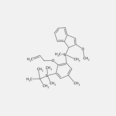 C=CCOc1c([Si](C)(C)C2C(OC)=Cc3ccccc32)cc(C)cc1[Si](C)(C)C(C)(C)C